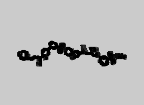 CNS(=O)(=O)c1cccc(OC[C@@H](O)CNC2COC3(CCN(S(=O)(=O)c4cccc(-c5ccc(NCCN6CCOCC6)nc5)c4)CC3)C2)c1